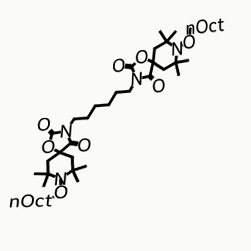 CCCCCCCCON1C(C)(C)CC2(CC1(C)C)OC(=O)N(CCCCCCN1C(=O)OC3(CC(C)(C)N(OCCCCCCCC)C(C)(C)C3)C1=O)C2=O